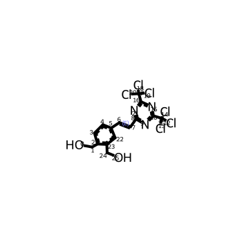 OCc1ccc(/C=C/c2nc(C(Cl)(Cl)Cl)nc(C(Cl)(Cl)Cl)n2)cc1CO